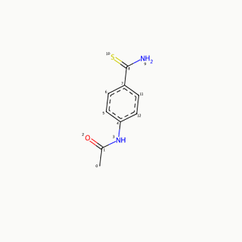 CC(=O)Nc1ccc(C(N)=S)cc1